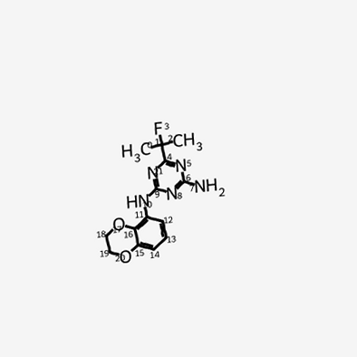 CC(C)(F)c1nc(N)nc(Nc2cccc3c2OCCO3)n1